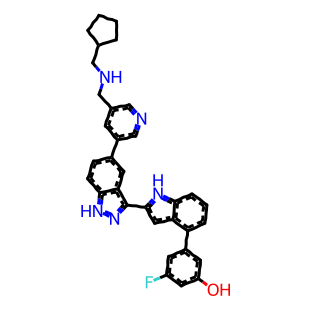 Oc1cc(F)cc(-c2cccc3[nH]c(-c4n[nH]c5ccc(-c6cncc(CNCC7CCCC7)c6)cc45)cc23)c1